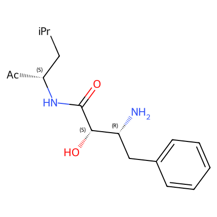 CC(=O)[C@H](CC(C)C)NC(=O)[C@@H](O)[C@H](N)Cc1ccccc1